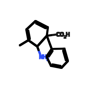 CC1=CC=CC(C(=O)O)(c2ccccc2)C1N